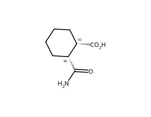 NC(=O)[C@@H]1CCCC[C@@H]1C(=O)O